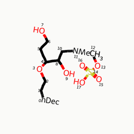 CCCCCCCCCCCCOC(CCO)C(O)CNC.COS(=O)(=O)O